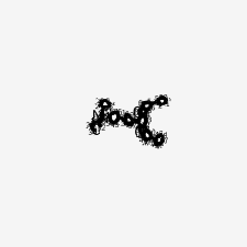 c1ccc(-c2ccc3oc4c(-c5ccc(-c6ccc(-n7c(-c8ccccc8)nc8ccccc87)cc6)cc5)c5oc6ccc(-c7ccccc7)cc6c5cc4c3c2)cc1